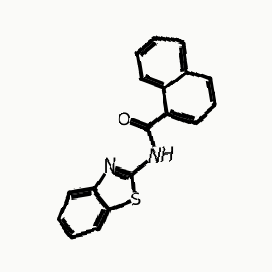 O=C(Nc1nc2ccccc2s1)c1cccc2ccccc12